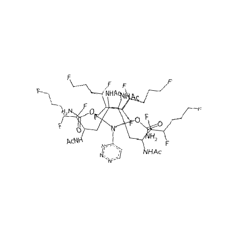 CC(=O)NC(CC(OC(N)=O)(C(NC(C)=O)C(F)C(F)CCCF)N(c1ccnnn1)C(CC(NC(C)=O)C(F)C(F)CCCF)(OC(N)=O)C(NC(C)=O)C(F)C(F)CCCF)C(F)C(F)CCCF